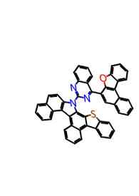 c1ccc2c(c1)cc(-c1nc(-n3c4ccc5ccccc5c4c4c5ccccc5c5c6ccccc6sc5c43)nc3ccccc13)c1oc3ccccc3c12